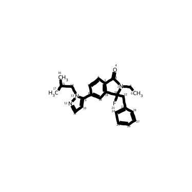 CCN1C(=O)c2ccc(-c3ccnn3CC(C)C)cc2C1(F)Cc1ccccc1